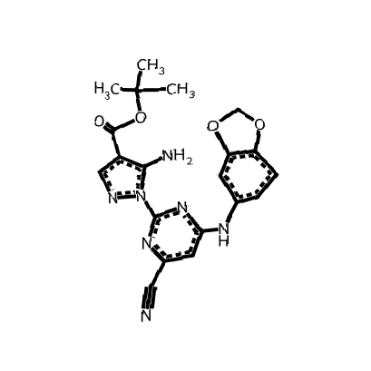 CC(C)(C)OC(=O)c1cnn(-c2nc(C#N)cc(Nc3ccc4c(c3)OCO4)n2)c1N